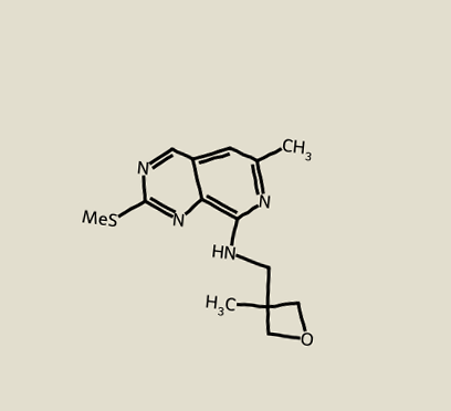 CSc1ncc2cc(C)nc(NCC3(C)COC3)c2n1